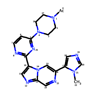 CC(=O)N1CCN(c2ccnc(-c3cnc4cnc(-c5cncn5C)cn34)n2)CC1